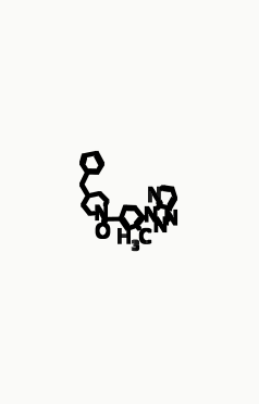 Cc1cc(C(=O)N2CCC(Cc3ccccc3)CC2)ccc1-n1nnc2cccnc21